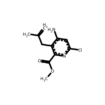 C=C(C)Cc1c(N)cc(Cl)nc1C(=O)OC